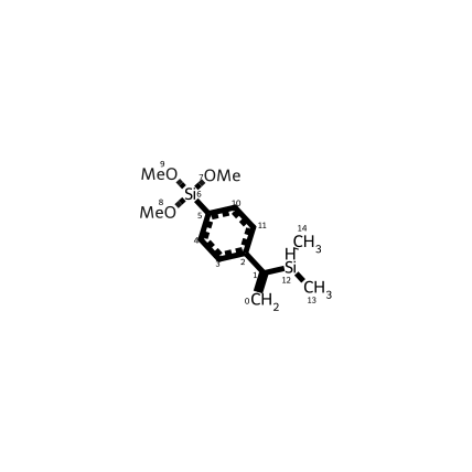 C=C(c1ccc([Si](OC)(OC)OC)cc1)[SiH](C)C